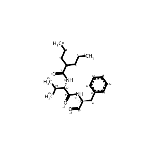 CCCC(CCC)C(=O)N[C@H](C(=O)N[C@H](C=O)Cc1ccccc1)C(C)C